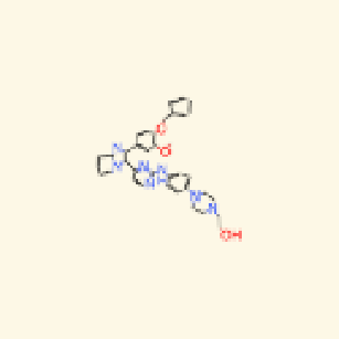 COc1cc(-c2nc3ccccn3c2-c2ccnc(Nc3ccc(N4CCN(CCO)CC4)cc3)n2)ccc1OCc1ccccc1